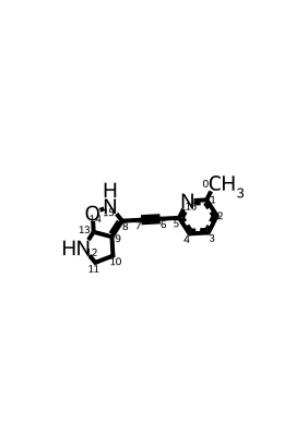 Cc1cccc(C#CC2=C3CCNC3ON2)n1